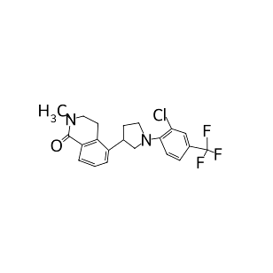 CN1CCc2c(cccc2C2CCN(c3ccc(C(F)(F)F)cc3Cl)C2)C1=O